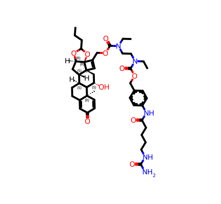 CCCC1O[C@@H]2C[C@H]3[C@@H]4CCC5=CC(=O)C=C[C@]5(C)C4[C@@H](O)C[C@@]34C=C(COC(=O)N(CC)CCN(CC)C(=O)OCc3ccc(NC(=O)CCCCNC(N)=O)cc3)[C@@]24O1